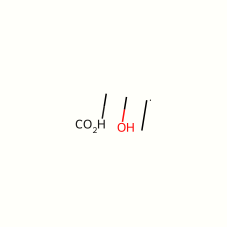 CC(=O)O.CO.[CH2]C